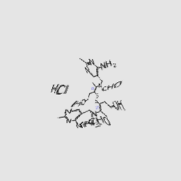 C/C(=C(\CCO)SS/C(CCO)=C(/C)N(C=O)Cc1cnc(C)nc1N)N(C=O)Cc1cnc(C)nc1N.Cl